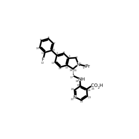 CC(C)N1Cc2cc(-c3ccccc3F)ccc2[C@H]1CNc1cnccc1C(=O)O